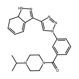 CC(C)N1CCN(C(=O)c2cccc(-n3cc(C4=NNC5CC=CC=C45)nn3)c2)CC1